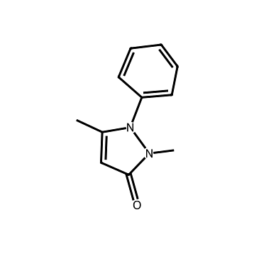 Cc1cc(=O)n(C)n1-c1ccccc1